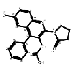 O=C(O)Oc1c(N2CCCC2=O)nc2ccc(Cl)cc2c1-c1ccccc1